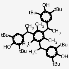 Cc1c(C(C)c2cc(C(C)(C)C)c(O)c(C(C)(C)C)c2)c(C)c(C(C)c2cc(C(C)(C)C)c(O)c(C(C)(C)C)c2)c(C)c1C(C)c1cc(C(C)(C)C)c(O)c(C(C)(C)C)c1